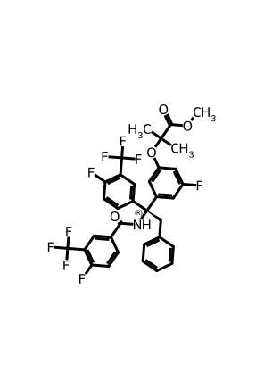 COC(=O)C(C)(C)Oc1cc(F)cc([C@](Cc2ccccc2)(NC(=O)c2ccc(F)c(C(F)(F)F)c2)c2ccc(F)c(C(F)(F)F)c2)c1